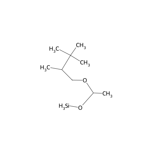 CC(O[SiH3])OCC(C)C(C)(C)C